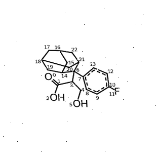 O=C(O)C(CO)C1(c2ccc(F)cc2)C2CC3CC(C2)CC1C3